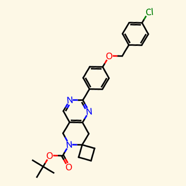 CC(C)(C)OC(=O)N1Cc2cnc(-c3ccc(OCc4ccc(Cl)cc4)cc3)nc2CC12CCC2